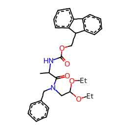 CCOC(CN(Cc1ccccc1)C(=O)C(C)NC(=O)OCC1c2ccccc2-c2ccccc21)OCC